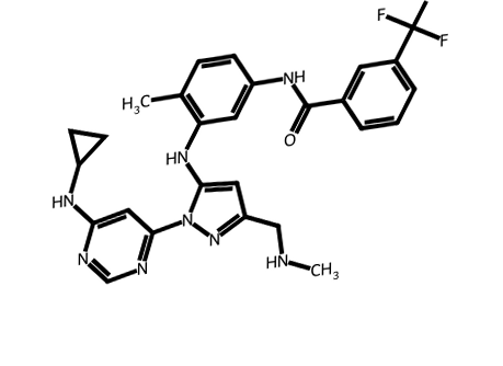 CNCc1cc(Nc2cc(NC(=O)c3cccc(C(F)(F)F)c3)ccc2C)n(-c2cc(NC3CC3)ncn2)n1